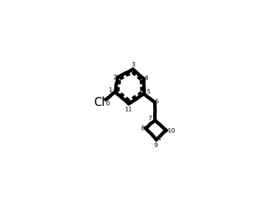 Clc1cccc(CC2C[CH]C2)c1